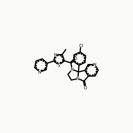 Cc1nc(-c2cccnc2)sc1C(=O)N1CCN2C(=O)c3ccncc3C21c1ccc(Cl)cc1